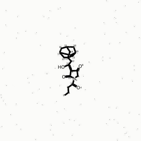 CCCC(=O)N1CC(=O)/C(=C(/O)CC23CC4CC(CC(C4)C2)C3)C1=O